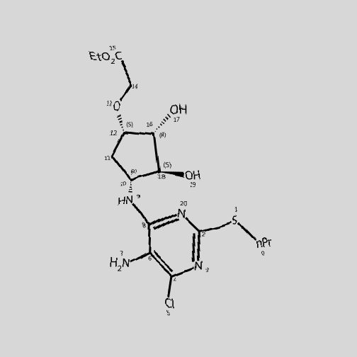 CCCSc1nc(Cl)c(N)c(N[C@@H]2C[C@H](OCC(=O)OCC)[C@H](O)[C@H]2O)n1